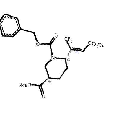 CCOC(=O)/C=C(/[C@@H]1CC[C@@H](C(=O)OC)CN1C(=O)OCc1ccccc1)C(F)(F)F